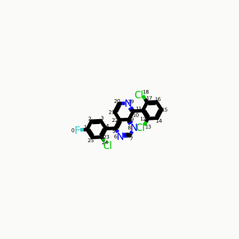 Fc1ccc(-c2ncnc3c(-c4c(Cl)cccc4Cl)nccc23)c(Cl)c1